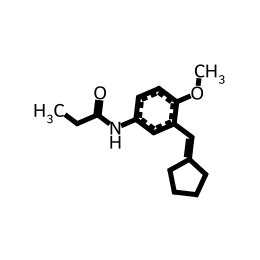 CCC(=O)Nc1ccc(OC)c(C=C2CCCC2)c1